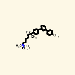 Cc1ccc(-c2cccc(-c3ccc(C(C)(CCCCC[N+](C)(C)C)C(F)(F)F)cc3)c2)cc1